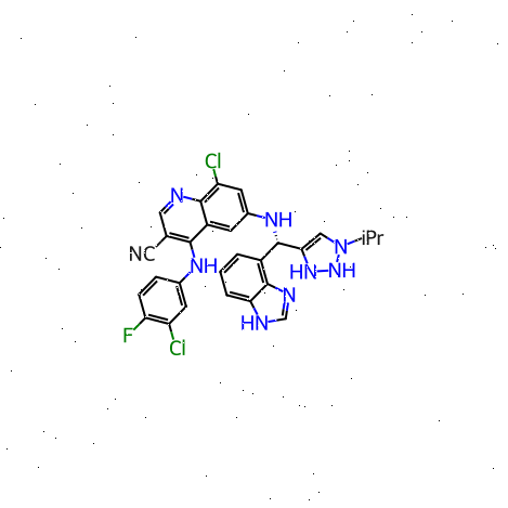 CC(C)N1C=C([C@@H](Nc2cc(Cl)c3ncc(C#N)c(Nc4ccc(F)c(Cl)c4)c3c2)c2cccc3[nH]cnc23)NN1